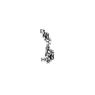 CCc1cnc(N2CCC(CCCOc3cc(F)c(-c4noc(CC(C)O)n4)c(F)c3)CC2)nc1